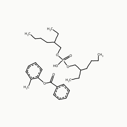 CCCCC(CC)COP(=O)(O)OCC(CC)CCCC.Cc1ccccc1OC(=O)c1ccccc1